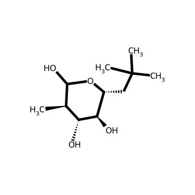 C[C@H]1C(O)O[C@H](CC(C)(C)C)[C@@H](O)[C@@H]1O